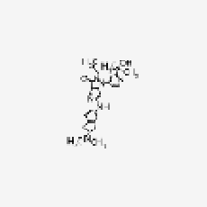 C=CCn1c(=O)c2cnc(Nc3ccc4c(c3)CC(N(C)C)C4)cc2n1-c1ccnc(C(C)(C)O)c1